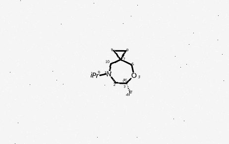 CC(C)N1C[C@@H](F)OCC2(CC2)C1